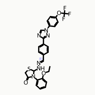 CCOc1ccccc1N1C(=O)CSC1N/N=C/c1ccc(-c2ncn(-c3ccc(OC(F)(F)F)cc3)n2)cc1